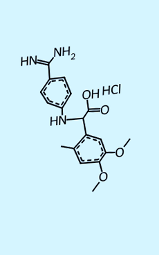 COc1cc(C)c(C(Nc2ccc(C(=N)N)cc2)C(=O)O)cc1OC.Cl